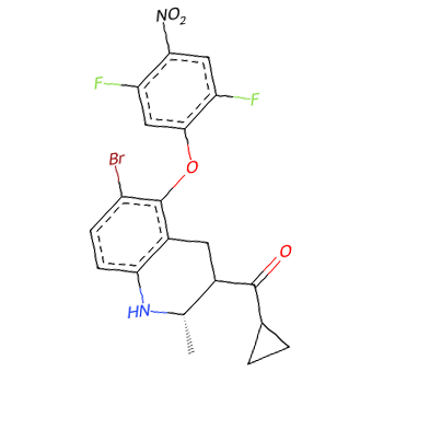 C[C@@H]1Nc2ccc(Br)c(Oc3cc(F)c([N+](=O)[O-])cc3F)c2CC1C(=O)C1CC1